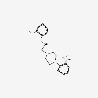 CCOc1ccccc1NC(=O)CN1CCN(c2ccccc2S(F)(F)F)CC1